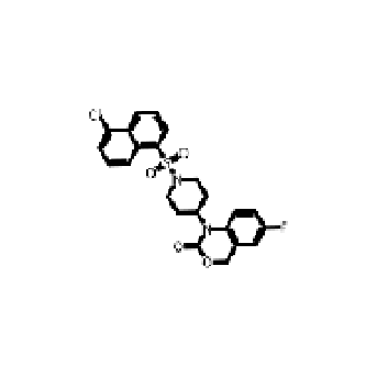 O=C1OCc2cc(F)ccc2N1C1CCN(S(=O)(=O)c2cccc3c(Cl)cccc23)CC1